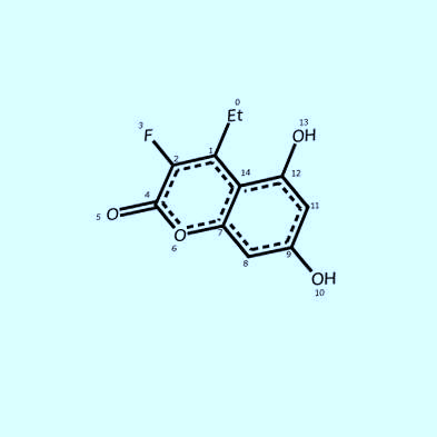 CCc1c(F)c(=O)oc2cc(O)cc(O)c12